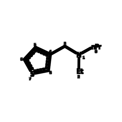 CCCN(CC)Cc1ccsc1